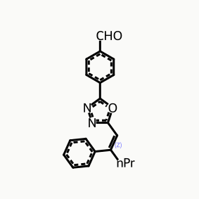 CCC/C(=C/c1nnc(-c2ccc(C=O)cc2)o1)c1ccccc1